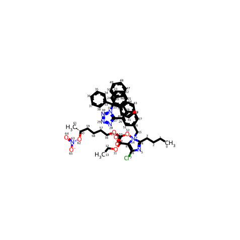 CCCCC1=NC(Cl)=C(C(=O)OCC)[N+]1(Cc1ccc(-c2ccccc2)c(-c2nnnn2C(c2ccccc2)(c2ccccc2)c2ccccc2)c1)OC(=O)OCCCC[C@@H](C)O[N+](=O)[O-]